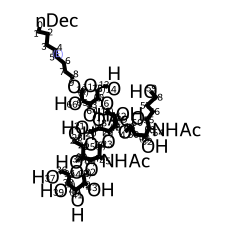 CCCCCCCCCCCCC/C=C/CCCO[C@@H]1O[C@@H](CO)[C@@H](O[C@@H]2OC(CO)[C@H](O[C@@H]3OC(CO)[C@H](O)[C@H](O[C@@H]4OC(CO)[C@H](O)[C@H](O)C4O)C3NC(C)=O)[C@H](O[C@]3(C(C)=O)C[C@@H](O)[C@@H](NC(C)=O)C(CCCO)O3)C2O)C(O)C1O